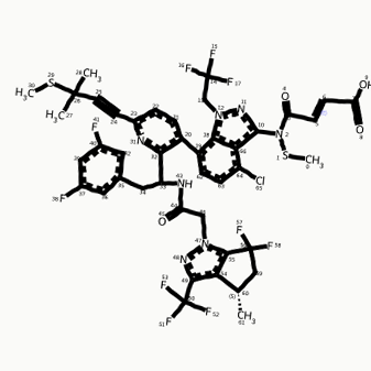 CSN(C(=O)/C=C/C(=O)O)c1nn(CC(F)(F)F)c2c(-c3ccc(C#CC(C)(C)SC)nc3C(Cc3cc(F)cc(F)c3)NC(=O)Cn3nc(C(F)(F)F)c4c3C(F)(F)C[C@@H]4C)ccc(Cl)c12